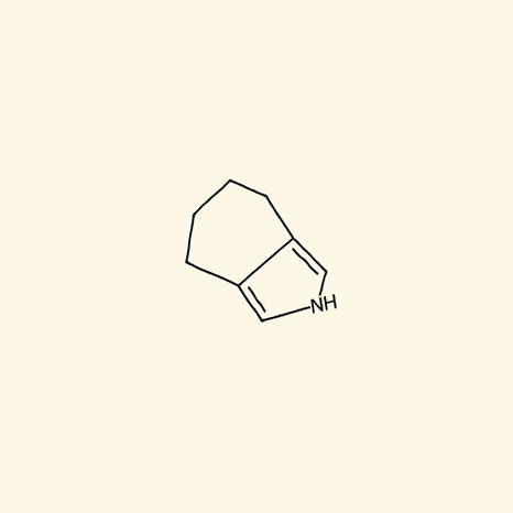 c1[nH]cc2c1CCCC2